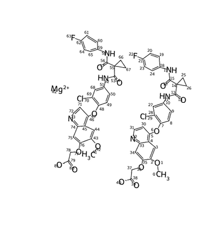 COc1cc2c(Oc3ccc(NC(=O)C4(C(=O)Nc5ccc(F)cc5)CC4)cc3Cl)ccnc2cc1OCC(=O)[O-].COc1cc2c(Oc3ccc(NC(=O)C4(C(=O)Nc5ccc(F)cc5)CC4)cc3Cl)ccnc2cc1OCC(=O)[O-].[Mg+2]